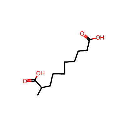 CC(CCCCCCCC(=O)O)C(=O)O